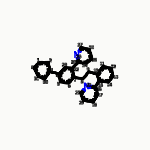 c1ccc(-c2ccc(CCc3ccccc3-c3ccccn3)c(-c3ccccn3)c2)cc1